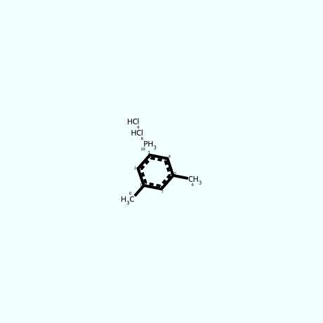 Cc1cccc(C)c1.Cl.Cl.P